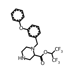 O=C(OC(C(F)(F)F)C(F)(F)F)C1CNCCN1Cc1cccc(Oc2ccccc2)c1